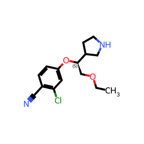 CCOC[C@@H](Oc1ccc(C#N)c(Cl)c1)C1CCNC1